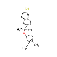 CC1C2CC(OC(C)(C)c3ccc4cc(S)ccc4c3)C(C2)C1C